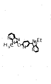 CCn1nc(-c2ccc(Oc3nc4cccnc4n3C)nc2)c2ncccc21